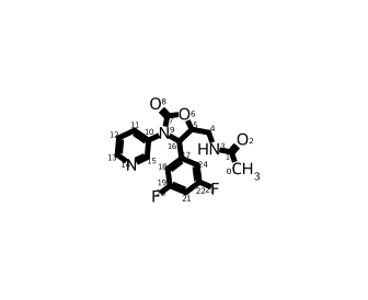 CC(=O)NCC1OC(=O)N(c2cccnc2)C1c1cc(F)cc(F)c1